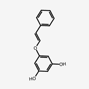 Oc1cc(O)cc(OC=Cc2ccccc2)c1